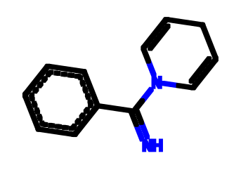 N=C(c1ccccc1)N1C=CCC=C1